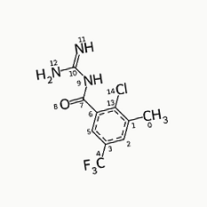 Cc1cc(C(F)(F)F)cc(C(=O)NC(=N)N)c1Cl